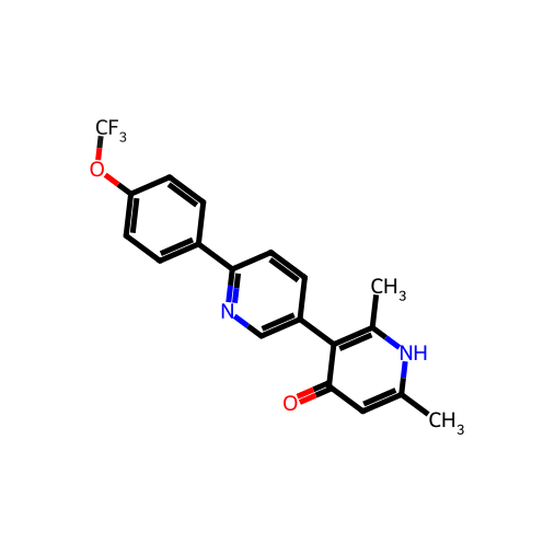 Cc1cc(=O)c(-c2ccc(-c3ccc(OC(F)(F)F)cc3)nc2)c(C)[nH]1